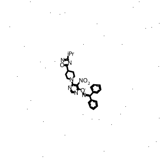 CC(C)c1noc(C2CCN(c3ncnc(ON=C(c4ccccc4)c4ccccc4)c3[N+](=O)[O-])CC2)n1